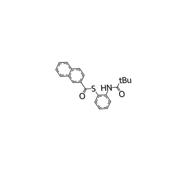 CC(C)(C)C(=O)Nc1ccccc1SC(=O)c1ccc2ccccc2c1